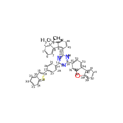 CC1(C)c2ccccc2-c2c(-c3nc(-c4ccc(-c5cc6ccccc6s5)cc4)nc(-c4ccc5c(c4)oc4ccccc45)n3)cccc21